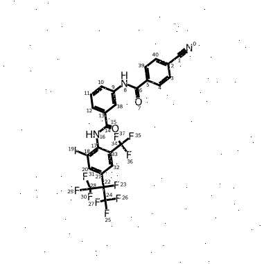 N#Cc1ccc(C(=O)Nc2cccc(C(=O)Nc3c(I)cc(C(F)(C(F)(F)F)C(F)(F)F)cc3C(F)(F)F)c2)cc1